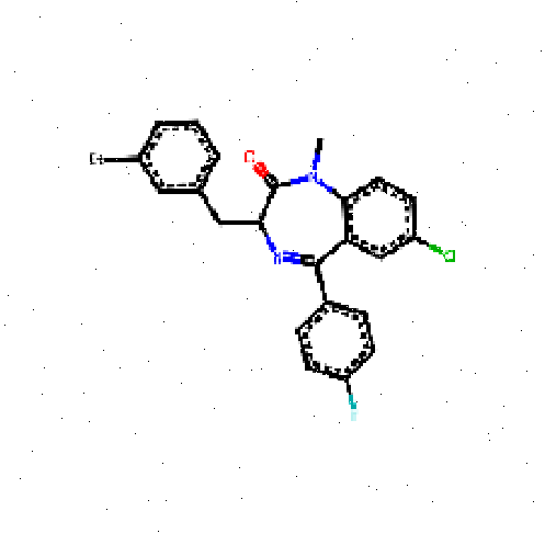 CCc1cccc(CC2N=C(c3ccc(F)cc3)c3cc(Cl)ccc3N(C)C2=O)c1